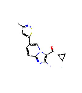 Cc1cc(-c2ccc3nc(N)c(C(=O)[C@@H]4C[C@@H]4F)n3c2)sn1